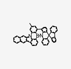 Cc1cc2c3c(c1)-n1c4cc5ccccc5cc4c4cccc(c41)B3N1c3ccccc3C3(c4ccccc4-c4ccccc43)c3cccc-2c31